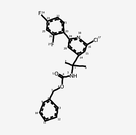 CC(C)(NC(=O)OCc1ccccc1)c1cc(Cl)nc(-c2ccc(F)cc2F)c1